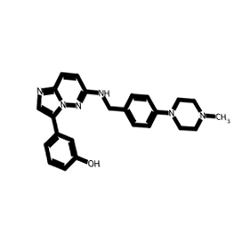 CN1CCN(c2ccc(CNc3ccc4ncc(-c5cccc(O)c5)n4n3)cc2)CC1